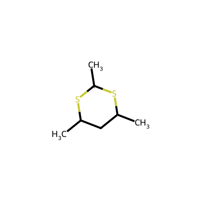 C[C]1SC(C)CC(C)S1